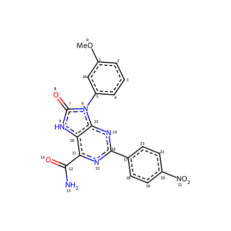 COc1cccc(-n2c(=O)[nH]c3c(C(N)=O)nc(-c4ccc([N+](=O)[O-])cc4)nc32)c1